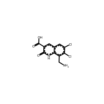 NCc1c(Cl)c(Cl)cc2cc(C(=O)O)c(=O)[nH]c12